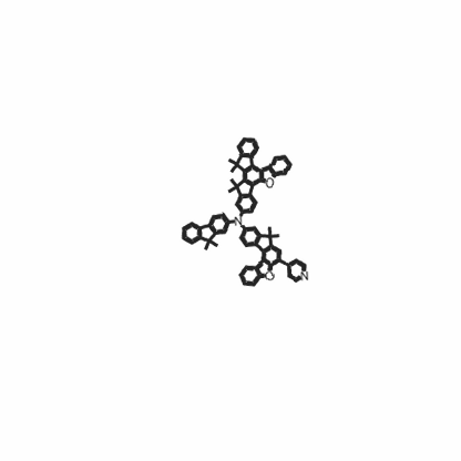 CC1(C)c2ccccc2-c2ccc(N(c3ccc4c(c3)C(C)(C)c3cc(-c5ccncc5)c5oc6ccccc6c5c3-4)c3ccc4c(c3)C(C)(C)c3c5c(c6c(oc7ccccc76)c3-4)-c3ccccc3C5(C)C)cc21